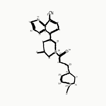 CC1CC(c2ccc(C#N)c3ncccc23)CN(C(=O)CCC2CCN(C)CC2)C1